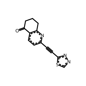 O=C1CCCc2nc(C#Cc3nncs3)ccc21